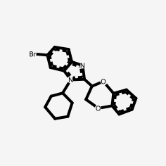 Brc1ccc2nc(C3COc4ccccc4O3)n(C3CCCCC3)c2c1